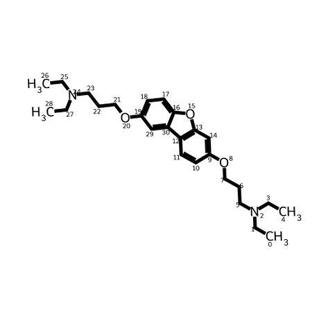 CCN(CC)CCCOc1ccc2c(c1)oc1ccc(OCCCN(CC)CC)cc12